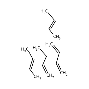 C=CC=C.C=CCC.CC=CC.CC=CC